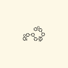 c1cc(-c2cccc(-c3nccc(-c4cccc(-c5ccc6oc7ccccc7c6c5)c4)n3)c2)cc(-c2ccc3oc4cccnc4c3c2)c1